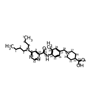 CCCCN(CCC)c1cc(C(=O)Nc2ccc(CN3CCC(C(=O)O)CC3)cc2C)ncn1